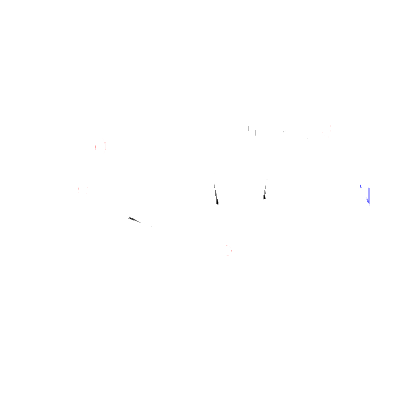 CC1(C)CC[C@]2(CCC(=O)OC3CCCCC3)CC[C@]3(C)C(C(=O)C=C4[C@@]5(C)C=C(C#N)C(=O)C(C)(C)[C@@H]5CC[C@]43C)C2C1